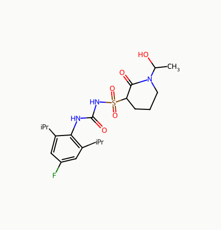 CC(C)c1cc(F)cc(C(C)C)c1NC(=O)NS(=O)(=O)C1CCCN(C(C)O)C1=O